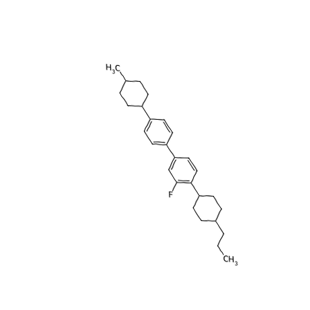 CCCC1CCC(c2ccc(-c3ccc(C4CCC(C)CC4)cc3)cc2F)CC1